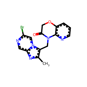 Cc1nc2cnc(Br)cn2c1CN1C(=O)COc2cccnc21